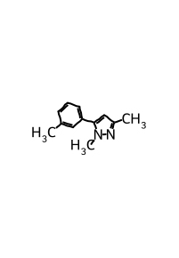 Cc1cccc(-c2cc(C)nn2C)c1